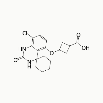 O=C1Nc2c(Cl)ccc(OC3CC(C(=O)O)C3)c2C2(CCCCC2)N1